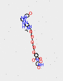 COC1CCN(c2nccc(Nc3cc4c(cn3)nc(COCCOCCOCCOCCOc3ccc5c(c3)C(=O)N(C3CCC(=O)NC3=O)C5=O)n4C(C)C)n2)CC1